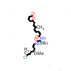 COC(C/C=C\NC(=O)C(NC(=O)\C=C/C=C\C(C)=C\CC1CC=CC(=O)O1)C(C)(C)C)C/C=C(\C)Cl